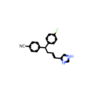 N#Cc1ccc(C(CC=Cc2c[nH]cn2)c2ccc(F)cc2)cc1